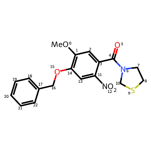 COc1cc(C(=O)N2CCSC2)c([N+](=O)[O-])cc1OCc1ccccc1